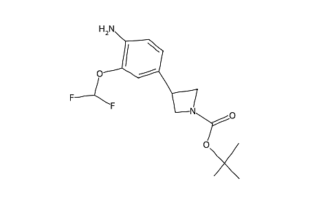 CC(C)(C)OC(=O)N1CC(c2ccc(N)c(OC(F)F)c2)C1